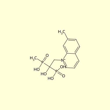 Cc1ccc2ccc[n+](CC(O)(P(C)(=O)O)P(=O)(O)O)c2c1